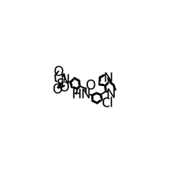 Cc1cc(N2COCCS2(=O)=O)ccc1C(=O)Nc1ccc(Cl)c(-c2nccc3ncccc23)c1